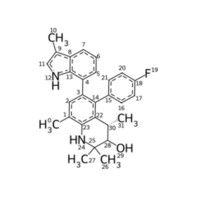 Cc1cc(-c2cccc3c(C)c[nH]c23)c(-c2ccc(F)cc2)c2c1NC(C)(C)C(O)[C@H]2C